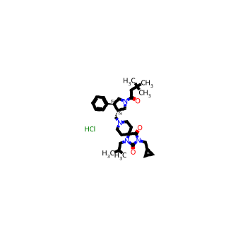 CC(C)CN1C(=O)N(CC2CC2)C(=O)C12CCN(C[C@H]1CN(C(=O)CC(C)(C)C)C[C@@H]1c1ccccc1)CC2.Cl